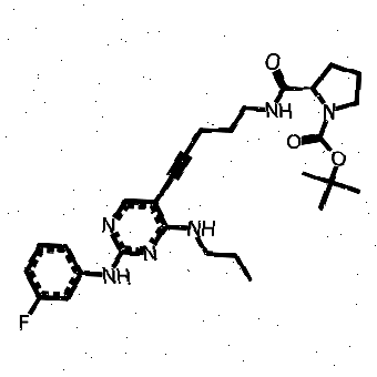 CCCNc1nc(Nc2cccc(F)c2)ncc1C#CCCCNC(=O)[C@H]1CCCN1C(=O)OC(C)(C)C